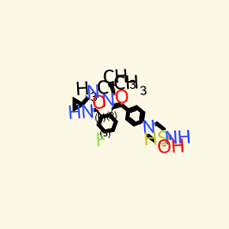 CC(C)(C)c1nc([C@@H]2CC[C@H](F)C[C@H]2C(=O)NC2(C#N)CC2)c(-c2ccc(N3CC[SH](=N)(O)CC3)cc2)o1